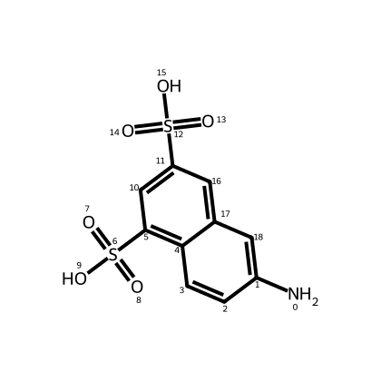 Nc1ccc2c(S(=O)(=O)O)cc(S(=O)(=O)O)cc2c1